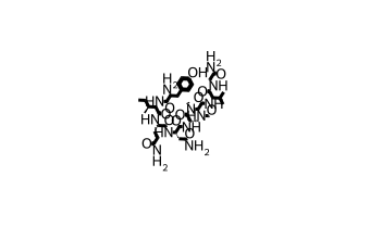 CC[C@H](C)[C@H](NC(=O)[C@@H](N)Cc1ccc(O)cc1)C(=O)N[C@@H](CCC(N)=O)C(=O)N[C@@H](CC(N)=O)C(=O)N[C@@H](CNC=O)C(=O)N(C)CC(=O)N[C@H](C(=O)NCC(N)=O)C(C)C